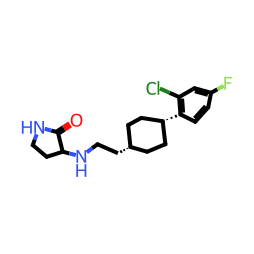 O=C1NCCC1NCC[C@H]1CC[C@@H](c2ccc(F)cc2Cl)CC1